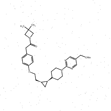 COCc1cnc(N2CCC([C@H]3C[C@H]3CCOc3ccc(CC(=O)N4CC(C)(C)C4)cc3)CC2)nc1